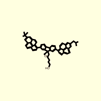 CC(C)Cc1cc2ccc3ccc(-c4ccc5c(c4)C(CO)(CCCCCO)c4cc(-c6ccc7ccc8cc(C(C)(C)C)cc9ccc6c7c89)ccc4-5)c4ccc(c1)c2c34